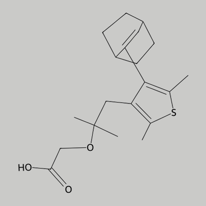 Cc1sc(C)c(C2=CC3CCC2CC3)c1CC(C)(C)OCC(=O)O